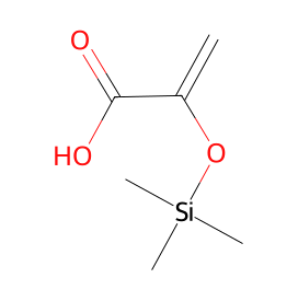 C=C(O[Si](C)(C)C)C(=O)O